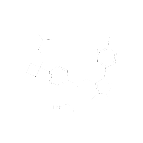 Cc1ccc(-c2noc(C)c2COc2ccc(C3(OCC(F)F)CCC3)nn2)cn1.NC=O